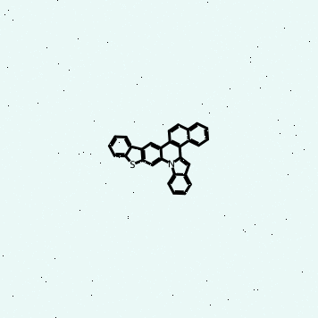 c1ccc2c(c1)ccc1c3cc4c(cc3n3c5ccccc5cc3c21)sc1ccccc14